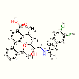 CC(C)c1cc(-c2ccccc2C(C)OC[C@@H](O)CNC(C)(C)Cc2ccc(Cl)c(F)c2)ccc1C(=O)O